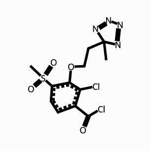 CC1(CCOc2c(S(C)(=O)=O)ccc(C(=O)Cl)c2Cl)N=NN=N1